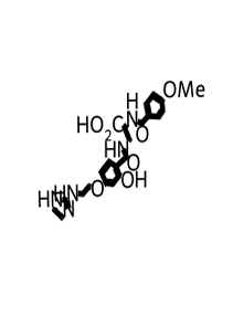 COc1ccc(C(=O)N[C@@H](CNC(=O)c2ccc(OCCNC3=NCCN3)cc2O)C(=O)O)cc1